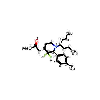 COC(=O)C[C@@H]1CCN([C@H](CCC(C)(C)C)CCC(F)(F)F)[C@H](c2ccc(C(F)(F)F)cc2)C1(F)F